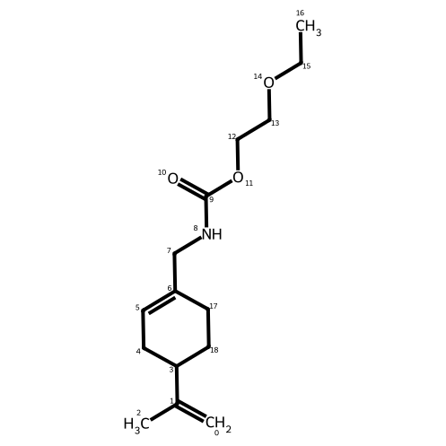 C=C(C)C1CC=C(CNC(=O)OCCOCC)CC1